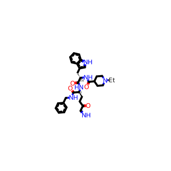 CCN1CCC(C(=O)N[C@@H](Cc2c[nH]c3ccccc23)C(=O)N[C@@H](CCC(=O)C=N)C(=O)NCc2ccccc2)CC1